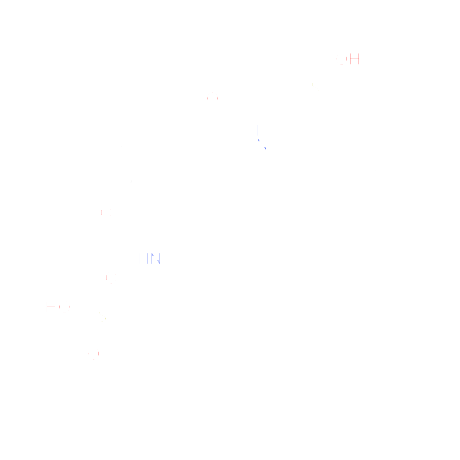 Cc1ccc(Nc2ccc(Nc3ccc(C)cc3S(=O)(=O)O)c3c2C(=O)c2ccccc2C3=O)c(SO)c1